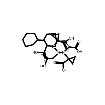 O=C(O)CN(N([C@@H](CC1CCCCC1)C(=O)O)C1(C(=O)O)CC1)N([C@@H](CC1CCCCC1)C(=O)O)C1(C(=O)O)CC1